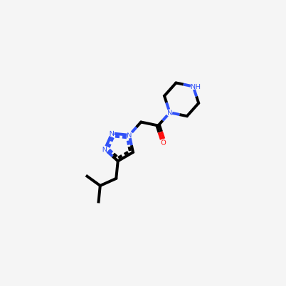 CC(C)Cc1cn(CC(=O)N2CCNCC2)nn1